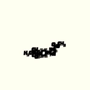 COC(=O)c1cncc(N2CCN(C(=O)OC(C)(C)C)CC2)n1